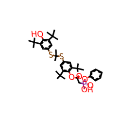 CC(C)(Sc1cc(C(C)(C)C)c(O)c(C(C)(C)C)c1)Sc1cc(C(C)(C)C)c(OC(=O)CP(=O)(O)Oc2ccccc2)c(C(C)(C)C)c1